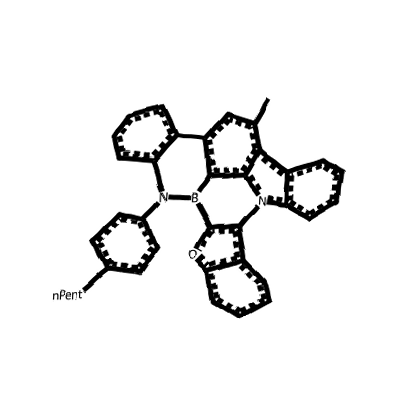 CCCCCc1ccc(N2B3c4oc5ccccc5c4-n4c5ccccc5c5c(C)cc(c3c54)-c3ccccc32)cc1